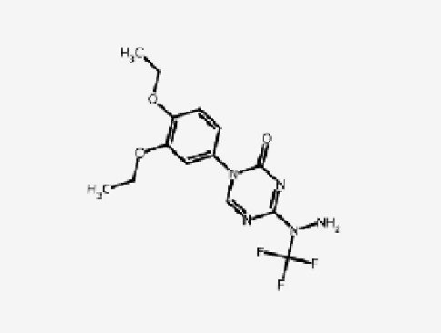 CCOc1ccc(-n2cnc(N(N)C(F)(F)F)nc2=O)cc1OCC